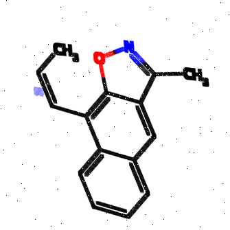 C/C=C\c1c2ccccc2cc2c(C)noc12